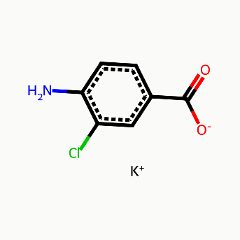 Nc1ccc(C(=O)[O-])cc1Cl.[K+]